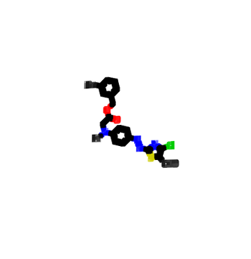 CCC(C)c1cccc(COC(=O)CN(CC)c2ccc(/N=N/c3nc(Cl)c(C=O)s3)cc2)c1